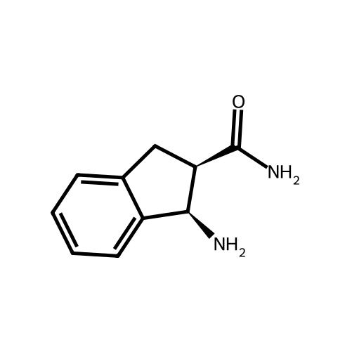 NC(=O)[C@@H]1Cc2ccccc2[C@@H]1N